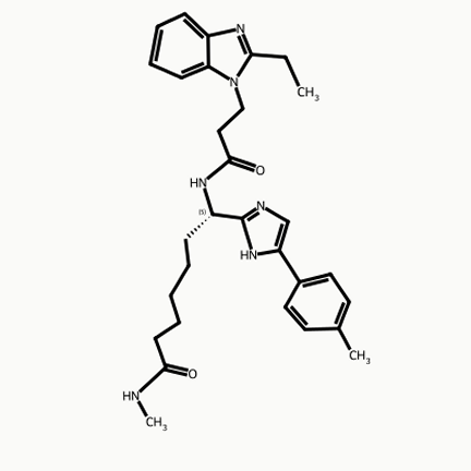 CCc1nc2ccccc2n1CCC(=O)N[C@@H](CCCCCC(=O)NC)c1ncc(-c2ccc(C)cc2)[nH]1